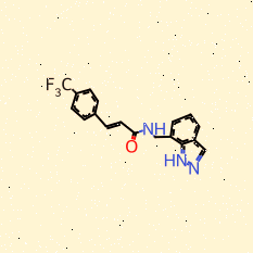 O=C(/C=C/c1ccc(C(F)(F)F)cc1)NCc1cccc2cn[nH]c12